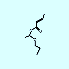 CC=CC(=O)OC(C)OCCC